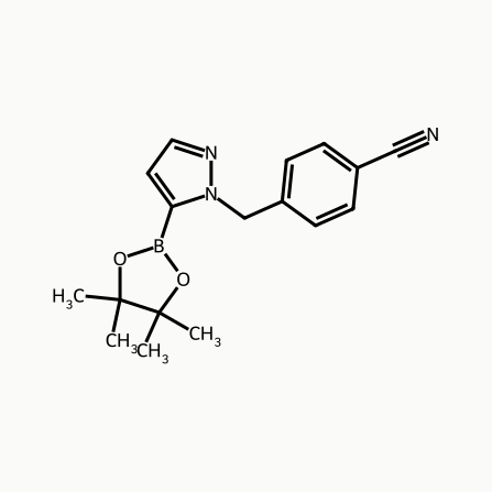 CC1(C)OB(c2ccnn2Cc2ccc(C#N)cc2)OC1(C)C